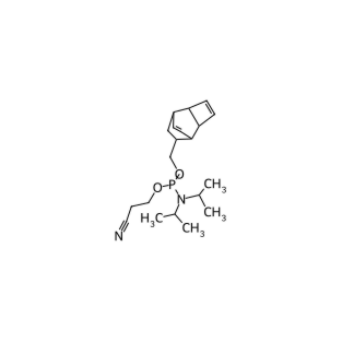 CC(C)N(C(C)C)P(OCCC#N)OCC1CC2C=CC1C1C=CC21